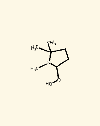 CN1C(OO)CCC1(C)C